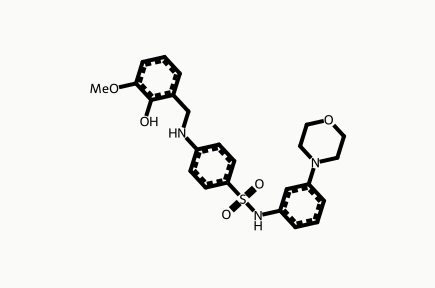 COc1cccc(CNc2ccc(S(=O)(=O)Nc3cccc(N4CCOCC4)c3)cc2)c1O